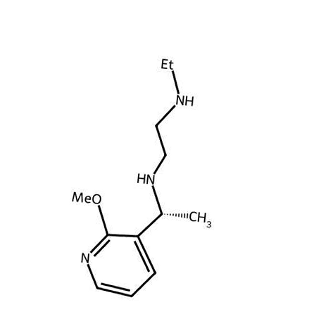 CCNCCN[C@H](C)c1cccnc1OC